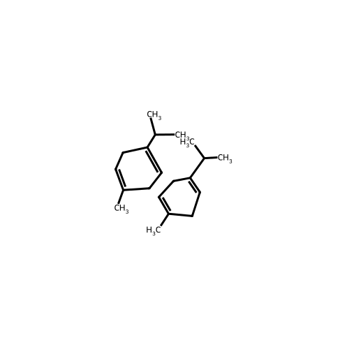 CC1=CCC(C(C)C)=CC1.CC1=CCC(C(C)C)=CC1